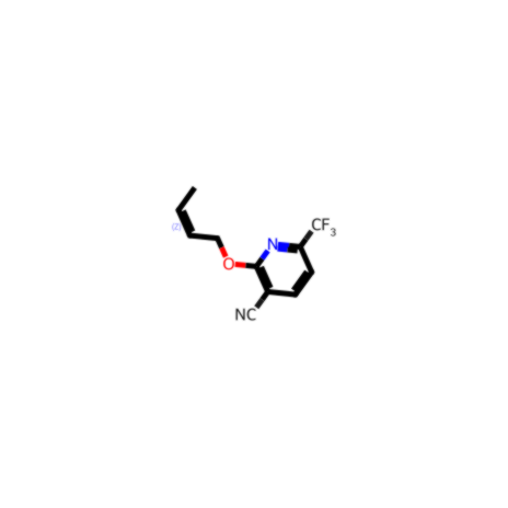 C/C=C\COc1nc(C(F)(F)F)ccc1C#N